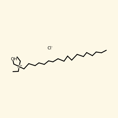 CCCCCCCCCCCCCCCCCC[N+](CC)(CC)CO.[Cl-]